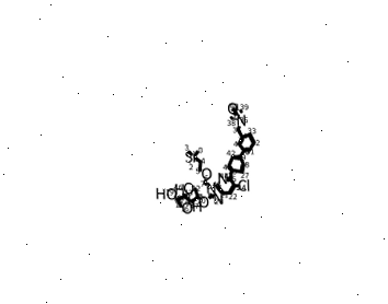 C[Si](C)(C)CCOCn1c(O[C@@H]2CO[C@H]3[C@@H]2OC[C@H]3O)nc2cc(Cl)c(-c3ccc(-c4cccc(CN=S(C)(C)=O)c4)cc3)nc21